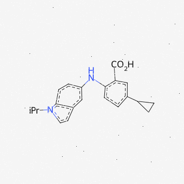 CC(C)n1ccc2cc(Nc3ccc(C4CC4)cc3C(=O)O)ccc21